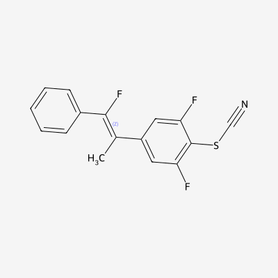 C/C(=C(/F)c1ccccc1)c1cc(F)c(SC#N)c(F)c1